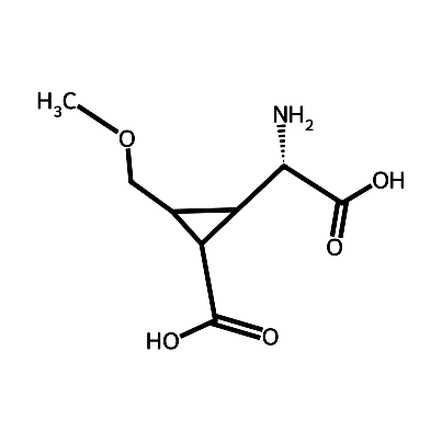 COCC1C(C(=O)O)C1[C@H](N)C(=O)O